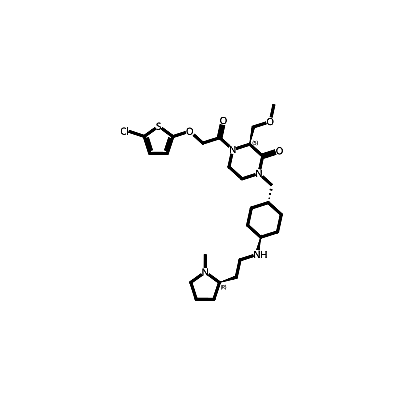 COC[C@H]1C(=O)N(C[C@H]2CC[C@H](NCC[C@H]3CCCN3C)CC2)CCN1C(=O)COc1ccc(Cl)s1